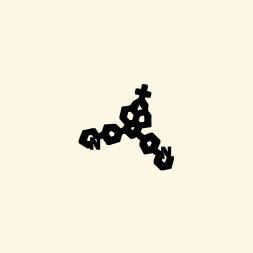 CC(C)(C)C1=CC2C=Cc3c(-c4ccc(-c5ccccn5)cc4)cc(-c4ccc(C5CC=CC=N5)cc4)c4c3C2C(=C1)C=C4